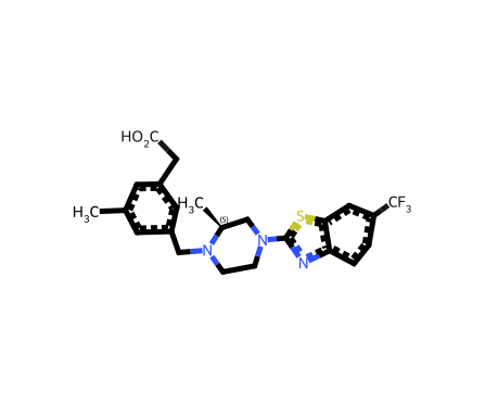 Cc1cc(CC(=O)O)cc(CN2CCN(c3nc4ccc(C(F)(F)F)cc4s3)C[C@@H]2C)c1